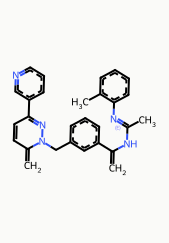 C=C(N/C(C)=N/c1ccccc1C)c1cccc(CN2N=C(c3cccnc3)C=CC2=C)c1